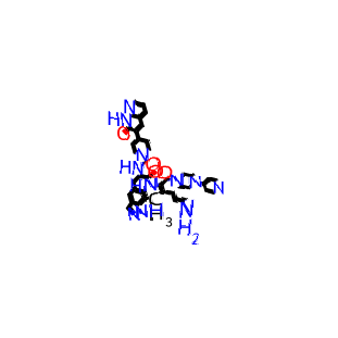 Cc1cc(CC(NC(=O)N2CCC(c3cc4cccnc4[nH]c3=O)CC2)C(=O)NC(CCCCN)C(=O)N2CCN(c3ccncc3)CC2)cc2cn[nH]c12